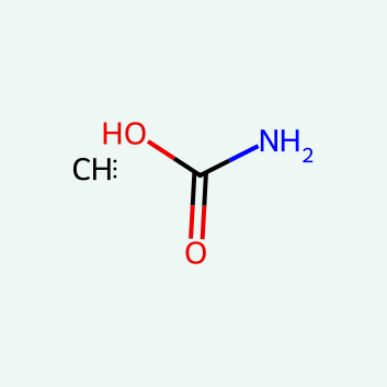 NC(=O)O.[CH]